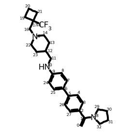 C=C(c1ccc(-c2ccc(NCC3CCN(CC4(C(F)(F)F)CCC4)CC3)cc2)cc1)N1CCCC1